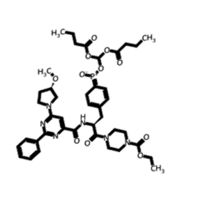 CCCC(=O)OC(OC(=O)CCC)O/[P+]([O-])=C1\C=CC(C[C@H](NC(=O)c2cc(N3CC[C@H](OC)C3)nc(-c3ccccc3)n2)C(=O)N2CCN(C(=O)OCC)CC2)=CC1